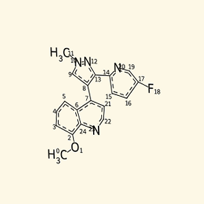 COc1cccc2c(-c3cn(C)nc3-c3ccc(F)cn3)ccnc12